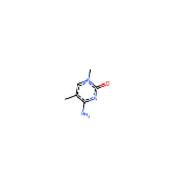 Cc1cn(C)c(=O)nc1N